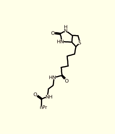 CCCC(=O)NCCNC(=O)CCCCC1SCC2NC(=O)NC21